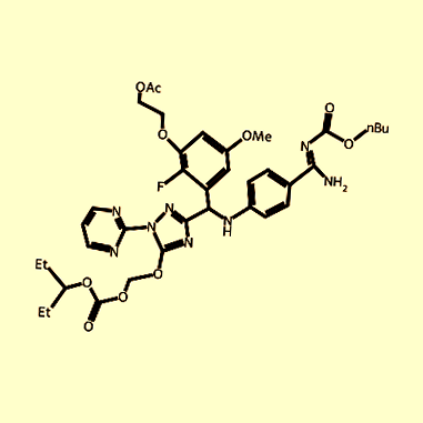 CCCCOC(=O)N=C(N)c1ccc(NC(c2nc(OCOC(=O)OC(CC)CC)n(-c3ncccn3)n2)c2cc(OC)cc(OCCOC(C)=O)c2F)cc1